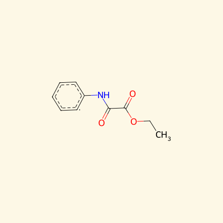 CCOC(=O)C(=O)Nc1[c]cccc1